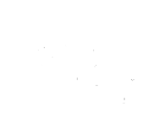 CCCC(Cc1ccc(OC(C)=O)c(OC)c1)OC(CCC)Cc1ccc(OC(C)=O)c(OC)c1